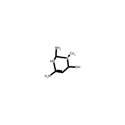 CN1C(O)C=C(N)NC1N